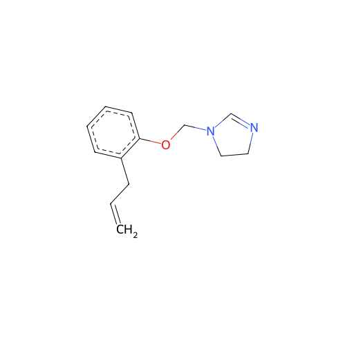 C=CCc1ccccc1OCN1C=NCC1